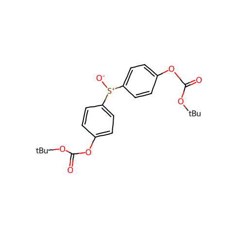 CC(C)(C)OC(=O)Oc1ccc([S+]([O-])c2ccc(OC(=O)OC(C)(C)C)cc2)cc1